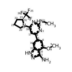 CNc1nc(-c2cc(OC)c3c(N)n[nH]c3c2)cc(N2CCC[C@H]2C(F)(F)F)n1